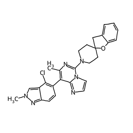 Cc1nc(N2CCC3(CC2)Cc2ccccc2O3)n2ccnc2c1-c1ccc2nn(C)cc2c1Cl